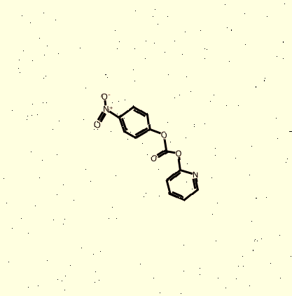 O=C(Oc1ccc([N+](=O)[O-])cc1)Oc1ccccn1